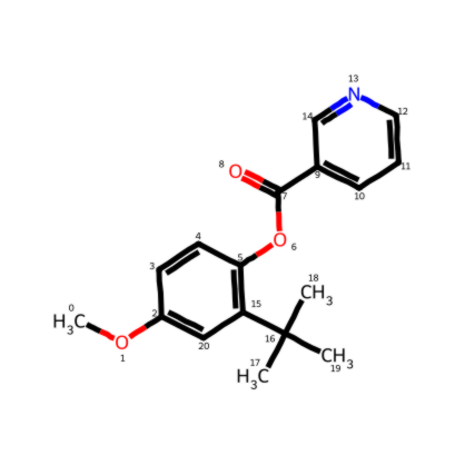 COc1ccc(OC(=O)c2cccnc2)c(C(C)(C)C)c1